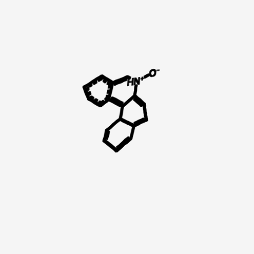 [O-][NH+]1C=c2ccccc2=C2C1=CC=C1C=CC=CC12